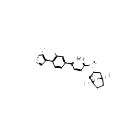 COc1cc(-c2ccc(N(C)[C@@H]3C[C@H]4CC[C@@H](C3)N4)nn2)ccc1-c1cn[nH]c1